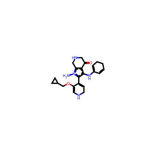 Nn1c2c(c(NC3=CCCC=C3)c1C1=CCNC=C1OCC1CC1)C(=O)CNC2